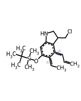 C=C/C=c1/c2c(cc(O[Si](C)(C)C(C)(C)C)/c1=C/C)NCC2CCl